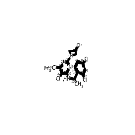 Cc1nc(N2CC(=O)C2)nc(N[C@H](C)c2ccc(Cl)cc2Cl)c1Cl